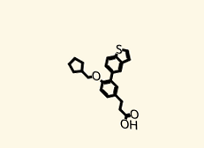 O=C(O)CCc1ccc(OCC2CCCC2)c(-c2ccc3sccc3c2)c1